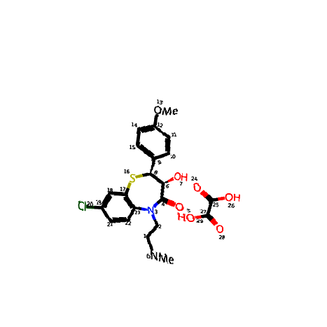 CNCCN1C(=O)[C@H](O)[C@H](c2ccc(OC)cc2)Sc2cc(Cl)ccc21.O=C(O)C(=O)O